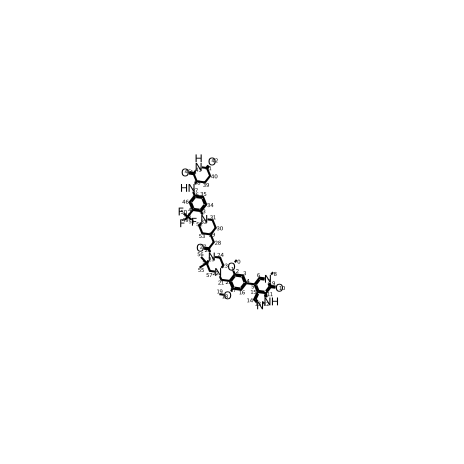 COc1cc(-c2cn(C)c(=O)c3[nH]ncc23)cc(OC)c1CN1CCN(C(=O)CC2CCN(c3ccc(NC4CCC(=O)NC4=O)cc3C(F)(F)F)CC2)C(C)(C)C1